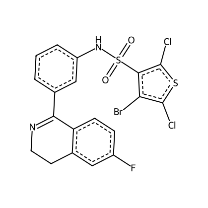 O=S(=O)(Nc1cccc(C2=NCCc3cc(F)ccc32)c1)c1c(Cl)sc(Cl)c1Br